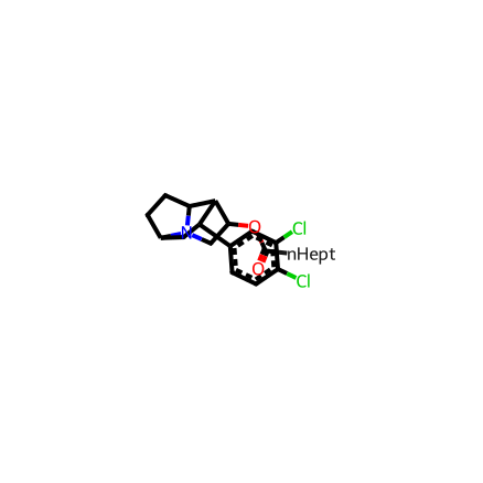 CCCCCCCC(=O)OC1CN2C3CCC2C1C(c1ccc(Cl)c(Cl)c1)C3